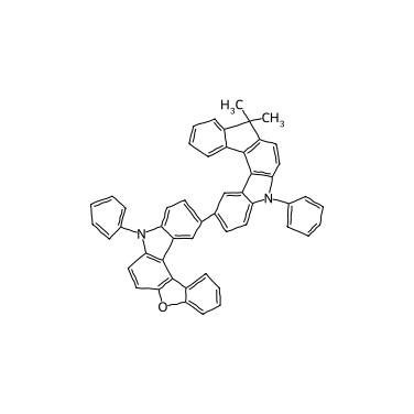 CC1(C)c2ccccc2-c2c1ccc1c2c2cc(-c3ccc4c(c3)c3c5c(ccc3n4-c3ccccc3)oc3ccccc35)ccc2n1-c1ccccc1